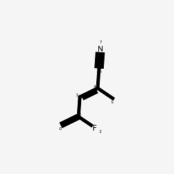 C=C(F)/C=C(\C)C#N